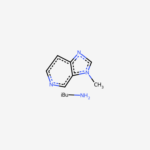 CCC(C)N.Cn1cnc2ccncc21